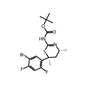 C[C@@H]1C[C@@](C)(c2cc(Br)c(F)cc2F)SC(NC(=O)OC(C)(C)C)=N1